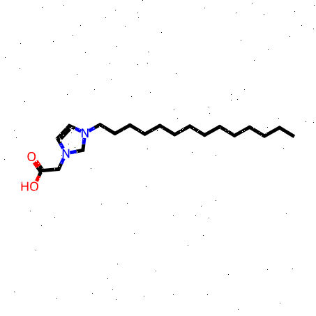 CCCCCCCCCCCCCCN1C=CN(CC(=O)O)C1